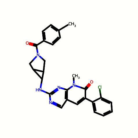 Cc1ccc(C(=O)N2CC3C(C2)C3Nc2ncc3cc(-c4ccccc4Cl)c(=O)n(C)c3n2)cc1